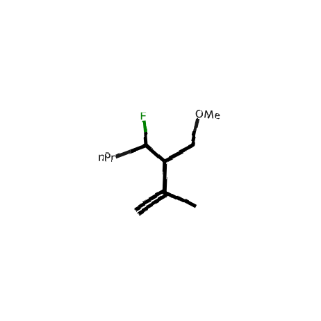 C=C(C)C(COC)C(F)CCC